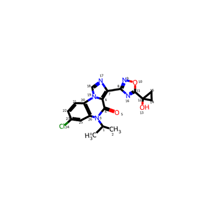 CC(C)n1c(=O)c2c(-c3noc(C4(O)CC4)n3)ncn2c2ccc(Cl)cc21